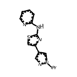 CC(C)n1cc(-c2csc(Nc3ccccn3)n2)cn1